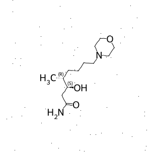 C[C@H](CCCCN1CCOCC1)[C@@H](O)CC(N)=O